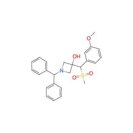 COc1cccc(C(C2(O)CN(C(c3ccccc3)c3ccccc3)C2)S(C)(=O)=O)c1